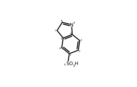 O=S(=O)(O)c1ccc2c(c1)CC=N2